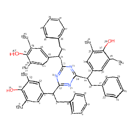 CC(C)(C)c1cc(C(Cc2ccccc2)c2nc(C(Cc3ccccc3)c3cc(C(C)(C)C)c(O)c(C(C)(C)C)c3)nc(C(Cc3ccccc3)c3cc(C(C)(C)C)c(O)c(C(C)(C)C)c3)n2)cc(C(C)(C)C)c1O